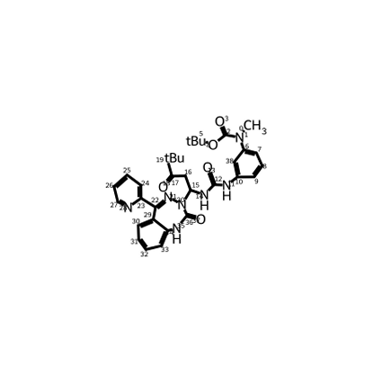 CN(C(=O)OC(C)(C)C)c1cccc(NC(=O)NC(CC(=O)C(C)(C)C)N2N=C(c3ccccn3)c3ccccc3NC2=O)c1